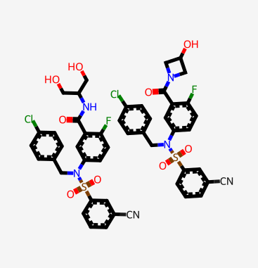 N#Cc1cccc(S(=O)(=O)N(Cc2ccc(Cl)cc2)c2ccc(F)c(C(=O)N3CC(O)C3)c2)c1.N#Cc1cccc(S(=O)(=O)N(Cc2ccc(Cl)cc2)c2ccc(F)c(C(=O)NC(CO)CO)c2)c1